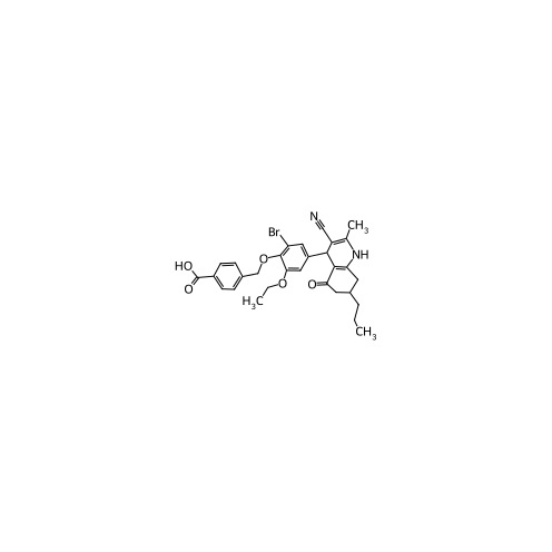 CCCC1CC(=O)C2=C(C1)NC(C)=C(C#N)C2c1cc(Br)c(OCc2ccc(C(=O)O)cc2)c(OCC)c1